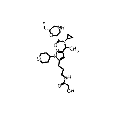 C[C@@H](c1cc(CCCNC(=O)CO)n(C2CCOCC2)n1)N(C(=O)[C@H]1CNC[C@@H](CF)O1)C1CC1